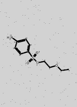 CCOCCOS(=O)(=O)c1ccc(N)cc1